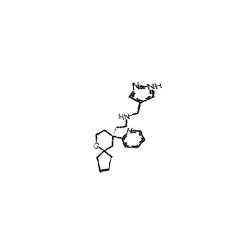 c1ccc([C@]2(CCNCc3cn[nH]c3)CCOC3(CCCC3)C2)nc1